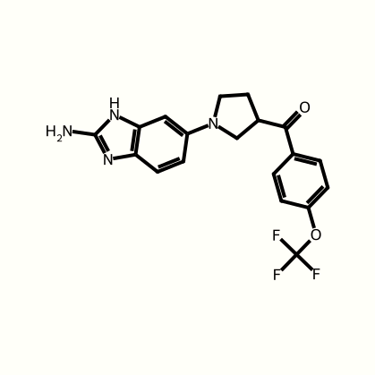 Nc1nc2ccc(N3CCC(C(=O)c4ccc(OC(F)(F)F)cc4)C3)cc2[nH]1